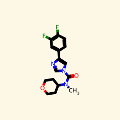 CN(C(=O)n1cnc(-c2ccc(F)c(F)c2)c1)C1CCOCC1